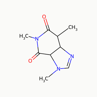 CC1C(=O)N(C)C(=O)C2C1N=CN2C